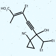 CCC(C#CC(O)(C(CC)CC)C1(C#N)CC1)=C(C)C(=O)O